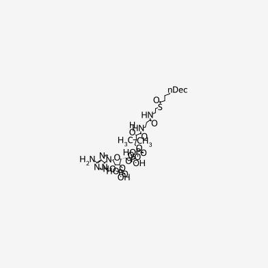 CCCCCCCCCCCCCC(=O)SCCNC(=O)CCNC(=O)[C@H](O)C(C)(C)COP(=O)(O)OP(=O)(O)OC[C@H]1O[C@@H](n2cnc3c(N)ncnc32)[C@H](O)[C@@H]1OP(=O)(O)O